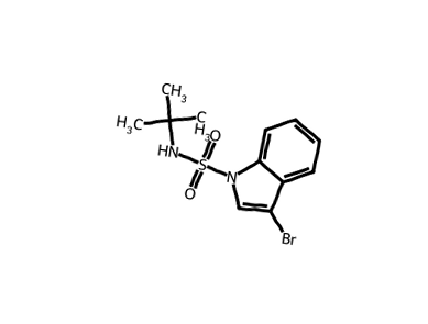 CC(C)(C)NS(=O)(=O)n1cc(Br)c2ccccc21